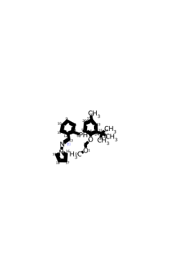 COCOc1c(Pc2ccccc2/C=N/n2cccc2)cc(C)cc1C(C)(C)C